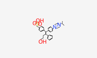 CC(C)N1CCN(c2ccc(C(=C(CCCO)c3ccccc3)c3ccc(CS(=O)(=O)O)cc3)cc2)CC1